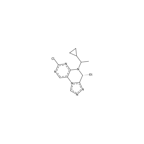 CC[C@@H]1c2nncn2-c2cnc(Cl)nc2N1C(C)C1CC1